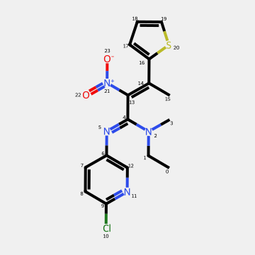 CCN(C)C(=Nc1ccc(Cl)nc1)C(=C(C)c1cccs1)[N+](=O)[O-]